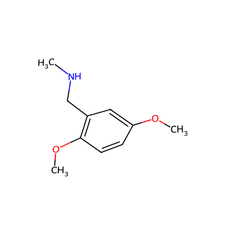 CNCc1cc(OC)ccc1OC